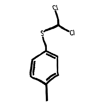 Cc1ccc(SC(Cl)Cl)cc1